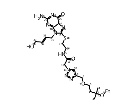 CCOC(C)(C)CCOCc1cn(CC(=O)NCCSC2=NC3C(=O)N=C(N)N=C3N2CC=CCO)nn1